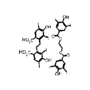 O=C(O)c1cc(I)c(O)c(I)c1CCc1c(C(=O)O)cc(I)c(O)c1I.O=C(OCCOC(=O)c1cc(I)c(O)c(I)c1)c1cc(I)c(O)c(I)c1